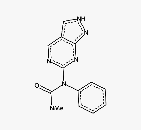 CNC(=O)N(c1ccccc1)c1ncc2c[nH]nc2n1